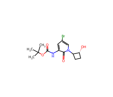 CC(C)(C)OC(=O)Nc1cc(Br)cn(C2CC[C@H]2O)c1=O